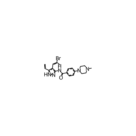 C=Cc1[nH]nc(NC(=O)c2ccc(N3CCN(C)CC3)cc2)c1/C=C(\C)Br